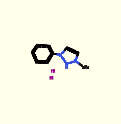 CCCCN1C=CN(c2ccccc2)N1.I.I